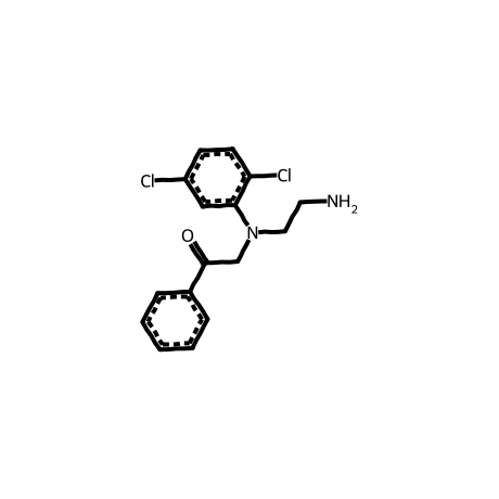 NCCN(CC(=O)c1ccccc1)c1cc(Cl)ccc1Cl